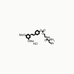 COc1cc(C=Cc2ccc(OC(=O)OCCNC(=O)C(N)CC(C)C)cc2)cc(OC)c1.Cl